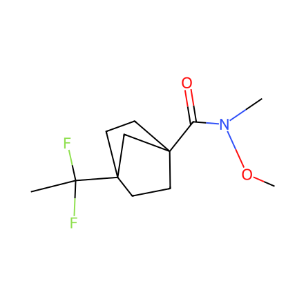 CON(C)C(=O)C12CCC(C(C)(F)F)(CC1)C2